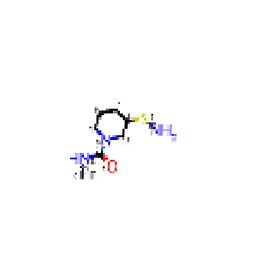 CC(C)NC(=O)N1CCCC(SN)C1